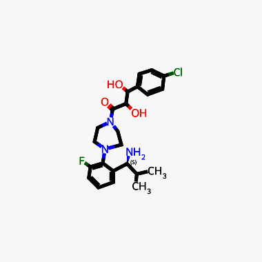 CC(C)[C@H](N)c1cccc(F)c1N1CCN(C(=O)C(O)C(O)c2ccc(Cl)cc2)CC1